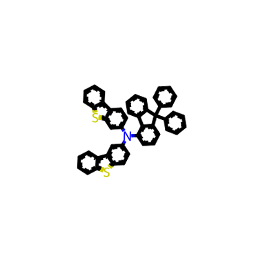 c1ccc(C2(c3ccccc3)c3ccccc3-c3c(N(c4ccc5c(c4)sc4ccccc45)c4ccc5sc6ccccc6c5c4)cccc32)cc1